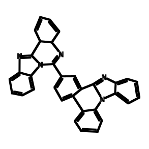 C1=CC2N=C(c3ccc4c5ccccc5n5c6ccccc6nc5c4c3)n3c(nc4ccccc43)C2C=C1